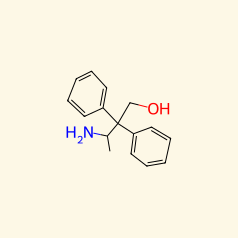 CC(N)C(CO)(c1ccccc1)c1ccccc1